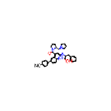 N#Cc1ccc(-c2ccc3nc(NC(CO)Cc4ccccc4)cc(C(=O)N4CCC[C@H]4CN4CCCC4)c3c2)cc1